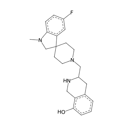 CN1CC2(CCN(CC3Cc4cccc(O)c4CN3)CC2)c2cc(F)ccc21